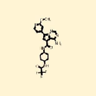 COc1cc(-c2cc(C(=O)NC3CCC(NC(=O)C(F)(F)F)CC3)c3c(N)ncnn23)ccn1